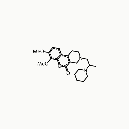 COc1ccc2c3c(c(=O)oc2c1OC)CN(CC(C)N1CCCCC1)CC3